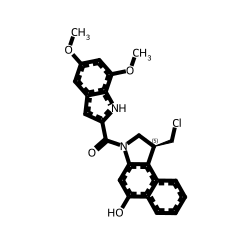 COc1cc(OC)c2[nH]c(C(=O)N3C[C@@H](CCl)c4c3cc(O)c3ccccc43)cc2c1